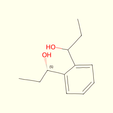 CCC(O)c1ccccc1[C@@H](O)CC